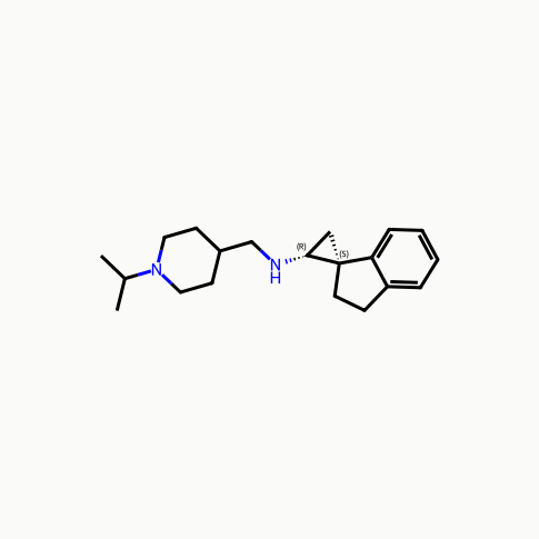 CC(C)N1CCC(CN[C@@H]2C[C@]23CCc2ccccc23)CC1